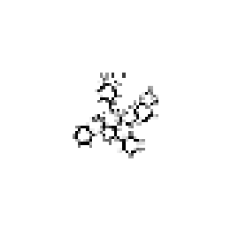 CCCCn1c(-c2ccccc2)nc(-c2ccccc2)c1C(Cc1ccc2c(c1)OCO2)NCc1ccc(C(=O)O)cc1